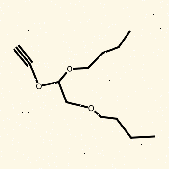 C#COC(COCCCC)OCCCC